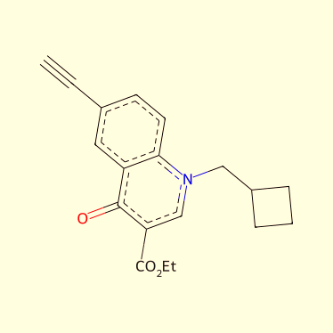 C#Cc1ccc2c(c1)c(=O)c(C(=O)OCC)cn2CC1CCC1